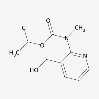 CC(Cl)OC(=O)N(C)c1ncccc1CO